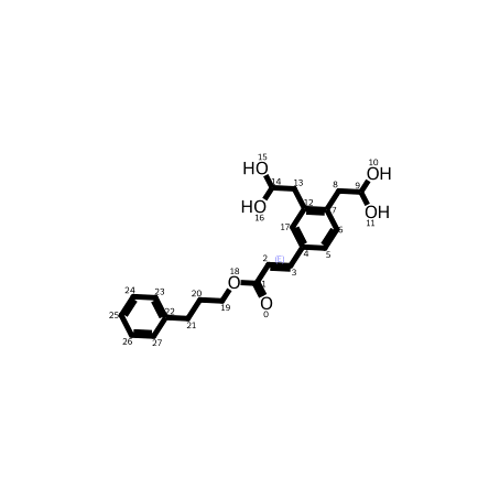 O=C(/C=C/c1ccc(CC(O)O)c(CC(O)O)c1)OCCCc1ccccc1